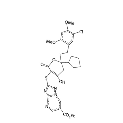 CCOC(=O)c1cnc2nc(SC3=C(O)CC(CCc4cc(Cl)c(OC)cc4OC)(C4CCCC4)OC3=O)nn2c1